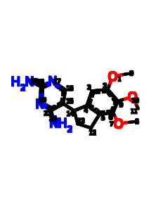 COc1cc2c(c(OC)c1OC)CCC2c1cnc(N)nc1N